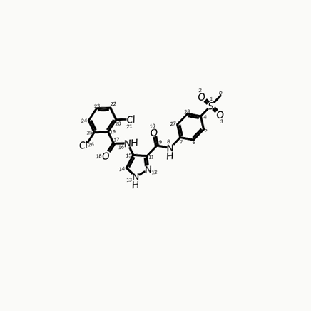 CS(=O)(=O)c1ccc(NC(=O)c2n[nH]cc2NC(=O)c2c(Cl)cccc2Cl)cc1